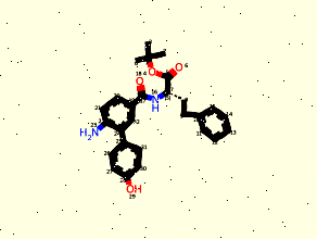 CC(C)(C)OC(=O)[C@H](CCc1ccccc1)NC(=O)c1ccc(N)c(-c2ccc(O)cc2)c1